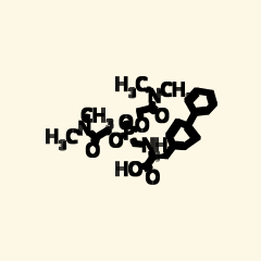 CN(C)C(=O)COP(=O)(CN[C@@H](Cc1ccc(-c2ccccc2)cc1)C(=O)O)OCC(=O)N(C)C